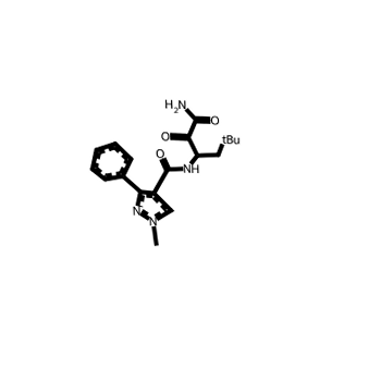 Cn1cc(C(=O)NC(CC(C)(C)C)C(=O)C(N)=O)c(-c2ccccc2)n1